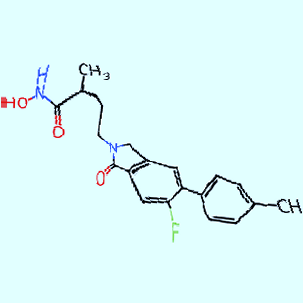 Cc1ccc(-c2cc3c(cc2F)C(=O)N(CCC(C)C(=O)NO)C3)cc1